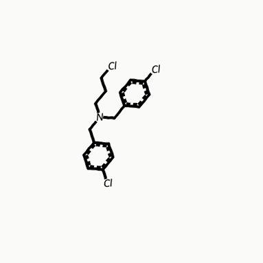 ClCCCN(Cc1ccc(Cl)cc1)Cc1ccc(Cl)cc1